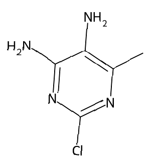 Cc1nc(Cl)nc(N)c1N